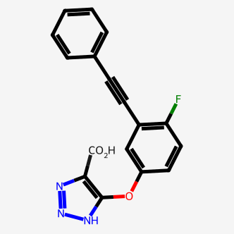 O=C(O)c1nn[nH]c1Oc1ccc(F)c(C#Cc2ccccc2)c1